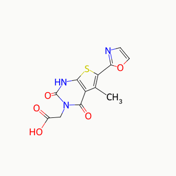 Cc1c(-c2ncco2)sc2[nH]c(=O)n(CC(=O)O)c(=O)c12